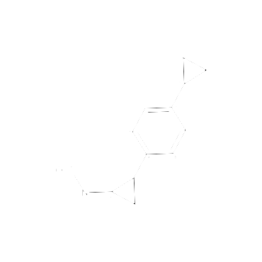 O=C(O)NC1CC1c1ccc(C2CC2)cc1